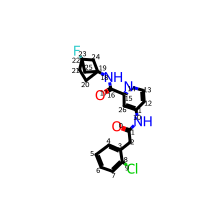 O=C(Cc1ccccc1Cl)Nc1ccnc(C(=O)NC23CCC(F)(C2)C3)c1